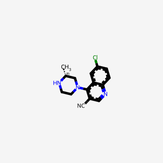 C[C@@H]1CN(c2c(C#N)cnc3ccc(Cl)cc23)CCN1